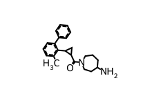 Cc1cccc(-c2ccccc2)c1C1CC1C(=O)N1CCCC(N)CC1